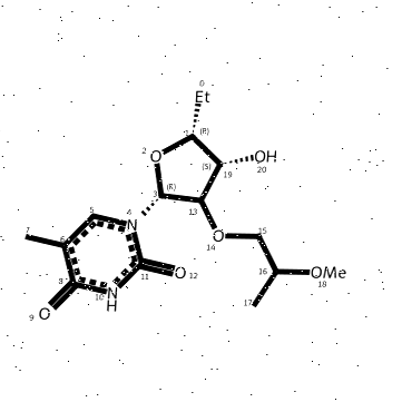 CC[C@H]1O[C@@H](n2cc(C)c(=O)[nH]c2=O)C(OCC(C)OC)[C@H]1O